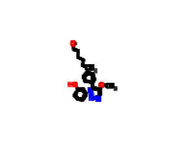 CCCCCC[O].COc1cnnnc1-c1ccccc1.Oc1ccccc1